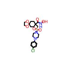 O=C(NO)C1(CS(=O)(=O)N2CCN(c3ccc(Cl)cc3)CC2)CCC2(CC1)OCCO2